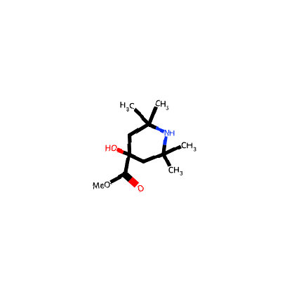 COC(=O)C1(O)CC(C)(C)NC(C)(C)C1